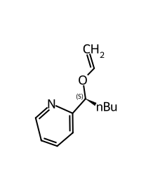 C=CO[C@@H](CCCC)c1ccccn1